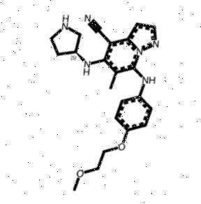 COCCOc1ccc(Nc2c(C)c(N[C@H]3CCNC3)c(C#N)c3ccnn23)cc1